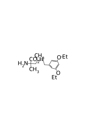 CCOc1cc(CCC(C)CC(C)(N)C(=O)O)cc(OCC)c1